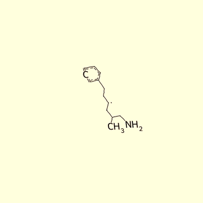 CC(CN)C[CH]CCc1ccccc1